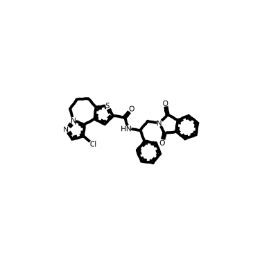 O=C(NC(CN1C(=O)c2ccccc2C1=O)c1ccccc1)c1cc2c(s1)CCCn1ncc(Cl)c1-2